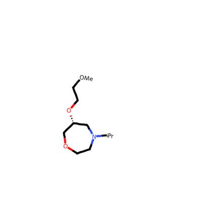 COCCO[C@H]1COCCN(C(C)C)C1